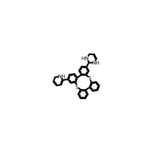 C1=CCNC(c2ccc3c(c2)Sc2ccccc2-c2ccccc2Sc2cc(C4NC=CCN4)ccc2-3)=C1